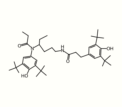 CCC(=O)N(c1cc(C(C)(C)C)c(O)c(C(C)(C)C)c1)C(CC)CCCNC(=O)CCc1cc(C(C)(C)C)c(O)c(C(C)(C)C)c1